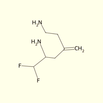 C=C(CCN)CC(N)C(F)F